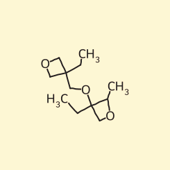 CCC1(COC2(CC)COC2C)COC1